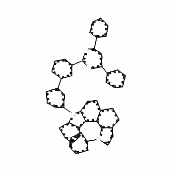 c1ccc(-c2cc(-c3ccccc3)nc(-c3cccc(-c4cccc(-n5c6ccccc6c6c7c(ccc8ccn(-c9ccccc9)c87)ccc65)c4)c3)n2)cc1